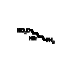 Br.O=C(O)CCCCCCP